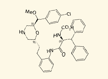 COC(c1ccc(Cl)cc1)[C@@H]1CNC[C@@H](CCc2ccccc2NC(=O)[C@@H](NC(=O)O)C(c2ccccc2)c2ccccc2)O1